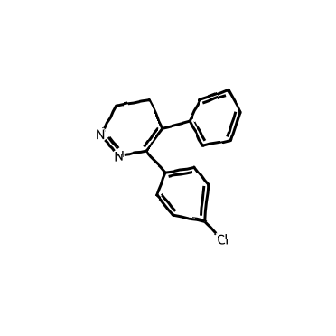 Clc1ccc(C2=C(c3ccccc3)CCN=N2)cc1